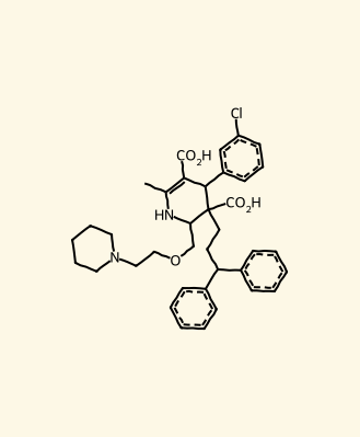 CC1=C(C(=O)O)C(c2cccc(Cl)c2)C(CCC(c2ccccc2)c2ccccc2)(C(=O)O)C(COCCN2CCCCC2)N1